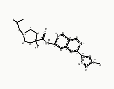 CC(C)CN1CCC(F)(C(=O)Nc2cc3cc(-c4cn(C)nn4)ncc3cn2)CC1